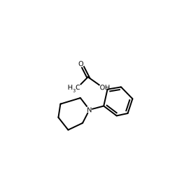 CC(=O)O.c1ccc(N2CCCCC2)cc1